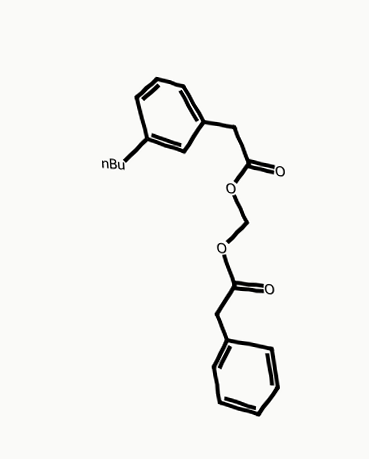 CCCCc1cccc(CC(=O)OCOC(=O)Cc2ccccc2)c1